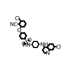 N#Cc1c(Cl)cccc1Oc1ccc(S(=O)(=O)N[C@H]2CC[C@@H](Nc3ccnc4cc(Cl)ccc34)CC2)cc1